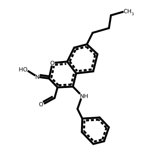 CCCCc1ccc2c(NCc3ccccc3)c(C=O)c(=NO)oc2c1